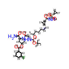 CC(C)(C)OC(=O)N[C@@H](CCCCC/C=C\[C@@H]1C[C@@H]1C(=O)NS(=O)(=O)C1CC1)C(=O)N1C[C@H](OC(=O)c2cccc(F)c2)C[C@H]1C(N)=O